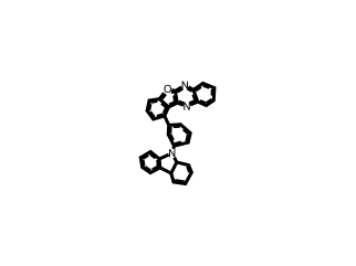 C1=CC2c3ccccc3N(c3cccc(-c4cccc5oc6nc7ccccc7nc6c45)c3)C2C=C1